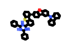 c1ccc(C2NC(c3ccccc3)NC(c3cccc4c3sc3cccc(-c5ccc6c(c5)oc5ccc(-n7c8ccccc8c8ccccc87)cc56)c34)N2)cc1